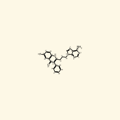 Nc1ncnc2c1ncn2CCCc1oc2ccc(F)cc2c(=O)c1-c1ccccc1